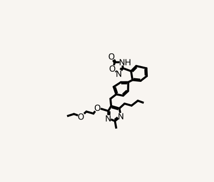 CCCCc1nc(C)nc(OCCOCC)c1Cc1ccc(-c2ccccc2-c2noc(=O)[nH]2)cc1